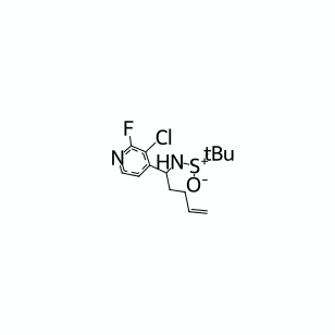 C=CCCC(N[S@@+]([O-])C(C)(C)C)c1ccnc(F)c1Cl